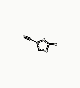 N#Cc1coc(=O)o1